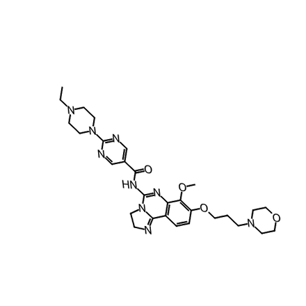 CCN1CCN(c2ncc(C(=O)NC3=Nc4c(ccc(OCCCN5CCOCC5)c4OC)C4=NCCN34)cn2)CC1